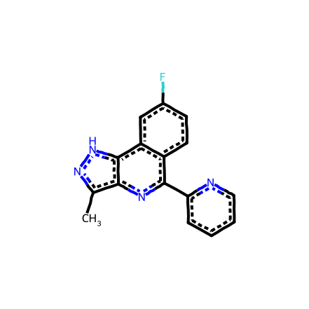 Cc1n[nH]c2c1nc(-c1ccccn1)c1ccc(F)cc12